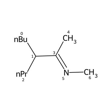 CCCCC(CCC)/C(C)=N/C